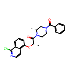 C[C@H](Oc1cccc2c(Cl)nccc12)C(=O)N1CCN(C(=O)c2ccccc2)C[C@H]1C